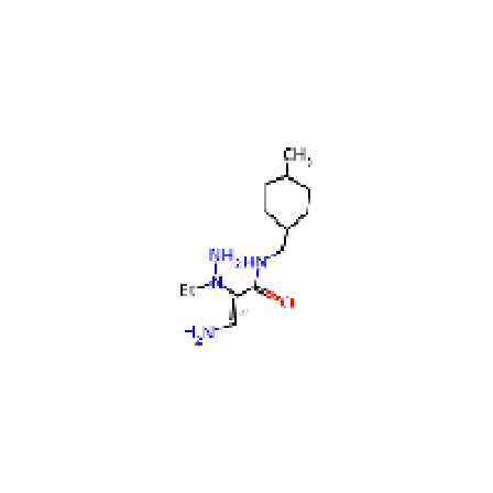 CCN(N)/C(=C\N)C(=O)NCC1CCC(C)CC1